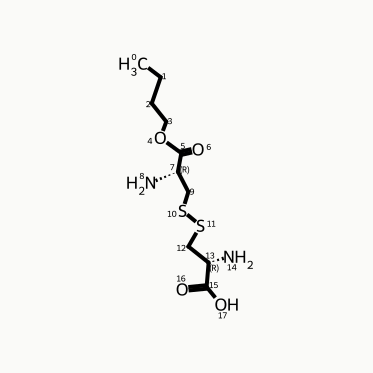 CCCCOC(=O)[C@@H](N)CSSC[C@H](N)C(=O)O